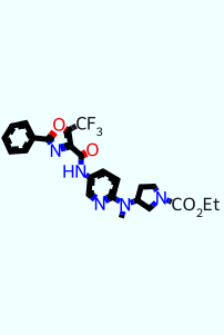 CCOC(=O)N1CCC(N(C)c2ccc(NC(=O)c3nc(-c4ccccc4)oc3C(F)(F)F)cn2)C1